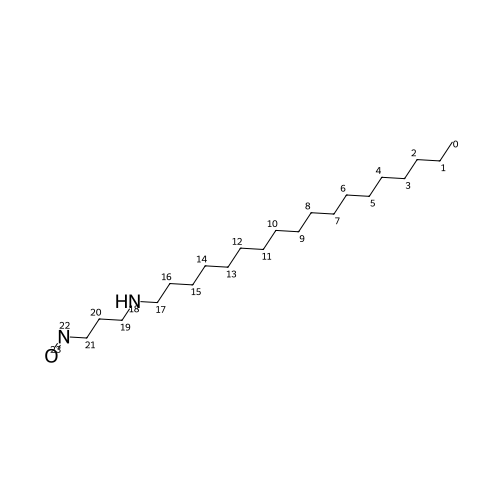 CCCCCCCCCCCCCCCCCCNCCCN=O